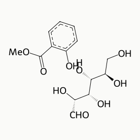 COC(=O)c1ccccc1O.O=C[C@H](O)[C@@H](O)[C@H](O)[C@H](O)CO